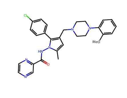 COc1ccccc1N1CCN(Cc2cc(C)n(NC(=O)c3cnccn3)c2-c2ccc(Cl)cc2)CC1